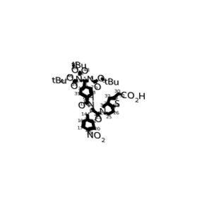 CC(C)(C)OC(=O)N=C(c1ccc(C(=O)N[C@@H](Cc2ccc([N+](=O)[O-])cc2)C(=O)N2CCc3sc(CC(=O)O)cc3C2)cc1)N(C(=O)OC(C)(C)C)C(=O)OC(C)(C)C